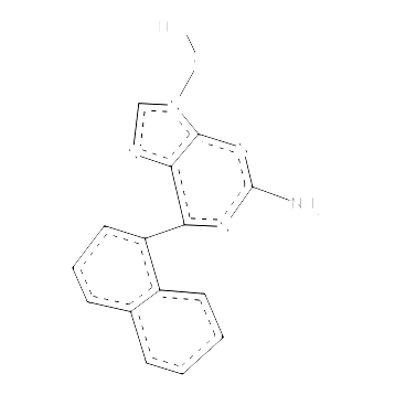 COn1cnc2c(-c3cccc4ccccc34)nc(N)nc21